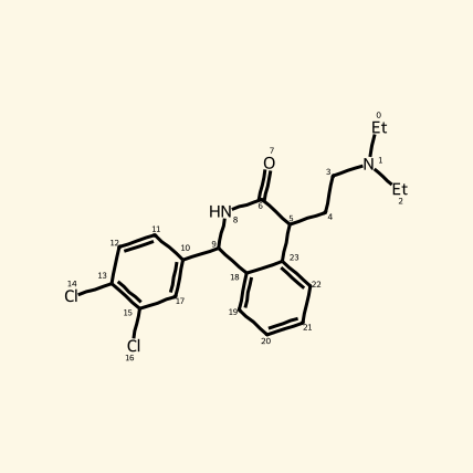 CCN(CC)CCC1C(=O)NC(c2ccc(Cl)c(Cl)c2)c2ccccc21